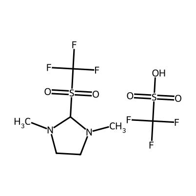 CN1CCN(C)C1S(=O)(=O)C(F)(F)F.O=S(=O)(O)C(F)(F)F